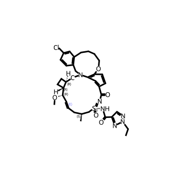 CCn1ncc(C(=O)N[S@@]2(=O)=NC(=O)c3ccc4c(c3)N(Cc3ccc(Cl)cc3CCCCO4)C[C@@H]3CC[C@H]3[C@@H](OC)/C=C/C[C@H](C)C2)n1